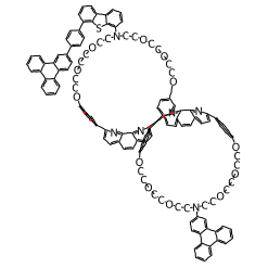 c1cc(-c2ccc(-c3ccc4c5ccccc5c5ccccc5c4c3)cc2)c2sc3c(N4CCOCCOCCOc5ccc(cc5)-c5ccc6ccc7ccc(nc7c6n5)C5(c6ccc(cc6)OCCOCCOCCN(c6ccc7c8ccccc8c8ccccc8c7c6)CCOCCOCCOc6ccc(cc6)-c6ccc7ccc8ccc5nc8c7n6)c5ccc(cc5)OCCOCCOCC4)cccc3c2c1